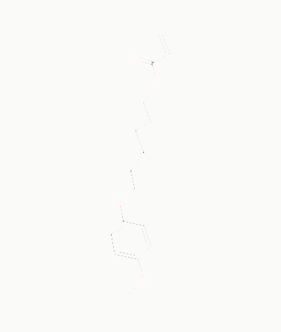 C=CC(=O)OCCCCCCOc1ccc(OC)cc1